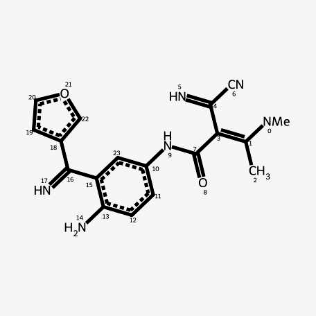 CN/C(C)=C(\C(=N)C#N)C(=O)Nc1ccc(N)c(C(=N)c2ccoc2)c1